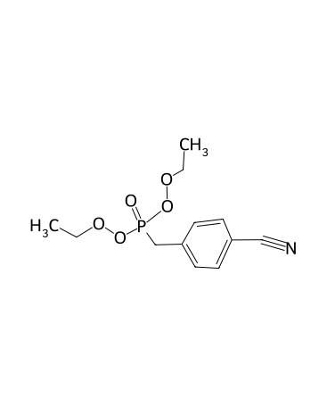 CCOOP(=O)(Cc1ccc(C#N)cc1)OOCC